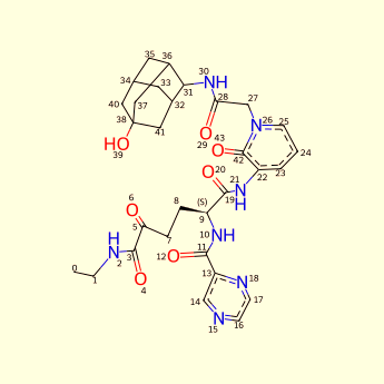 CCNC(=O)C(=O)CC[C@H](NC(=O)c1cnccn1)C(=O)Nc1cccn(CC(=O)NC2C3CC4CC2CC(O)(C4)C3)c1=O